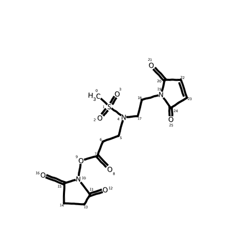 CS(=O)(=O)N(CCC(=O)ON1C(=O)CCC1=O)CCN1C(=O)C=CC1=O